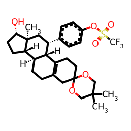 CC1(C)COC2(CCC3=C(CC[C@@H]4[C@@H]3[C@@H](c3ccc(OS(=O)(=O)C(F)(F)F)cc3)C[C@]3(C)[C@@H](O)CC[C@@H]43)C2)OC1